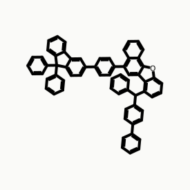 c1ccc(-c2ccc(C(c3ccccc3)c3cccc4oc5c6ccccc6c(-c6ccc(-c7ccc8c(c7)-c7ccccc7C8(c7ccccc7)c7ccccc7)cc6)cc5c34)cc2)cc1